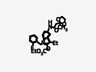 CCOC(=O)Oc1c(CC)c2cc(NC(=O)CC3(C)OCCO3)ccc2n1Cc1ccccc1F